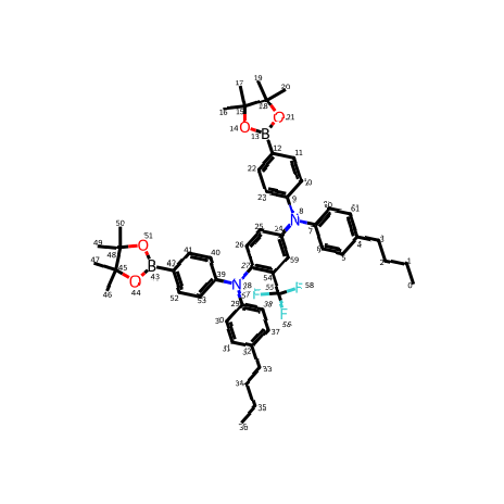 CCCCc1ccc(N(c2ccc(B3OC(C)(C)C(C)(C)O3)cc2)c2ccc(N(c3ccc(CCCC)cc3)c3ccc(B4OC(C)(C)C(C)(C)O4)cc3)c(C(F)(F)F)c2)cc1